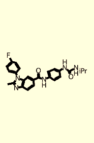 Cc1nc2ccc(C(=O)Nc3ccc(NC(=O)NC(C)C)cc3)cc2n1-c1ccc(F)cc1